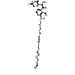 CN(C(=O)c1cccc(NCCOCCCCCOCCOCCOCCC=O)c1C=O)C1CCC(=O)NC1=O